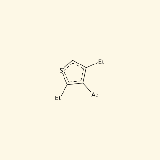 CCc1csc(CC)c1C(C)=O